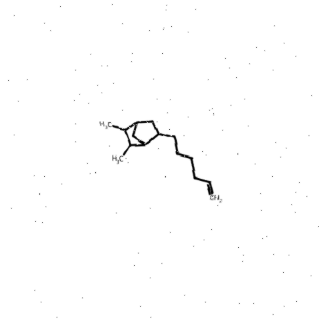 C=CCCCCC1CC2CC1C(C)C2C